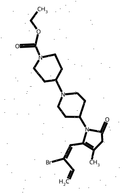 C=C/C(Br)=C\C1=C(C)CC(=O)N1C1CCN(C2CCN(C(=O)OCC)CC2)CC1